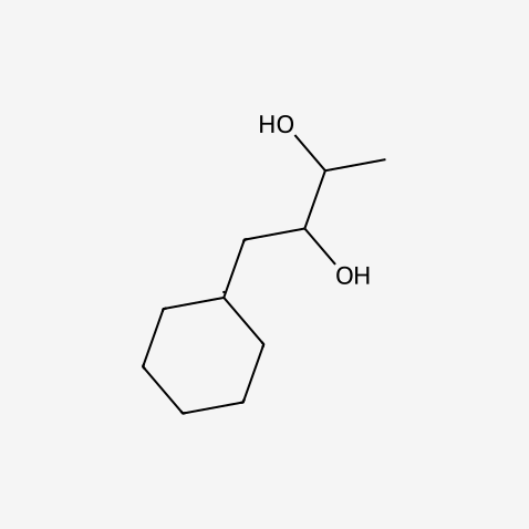 CC(O)C(O)C[C]1CCCCC1